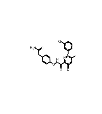 Cc1cc(=O)c(C(=O)NOC2C=CC(CC(N)=O)C=C2)nn1-c1cccc(Cl)c1